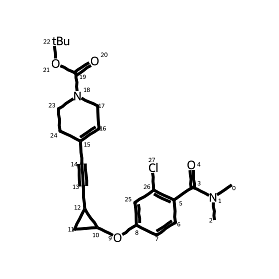 CN(C)C(=O)c1ccc(OC2CC2C#CC2=CCN(C(=O)OC(C)(C)C)CC2)cc1Cl